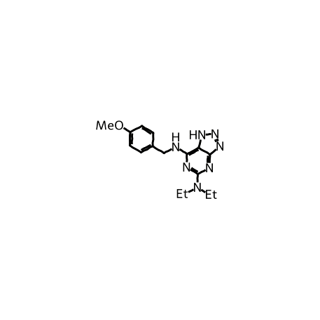 CCN(CC)c1nc(NCc2ccc(OC)cc2)c2[nH]nnc2n1